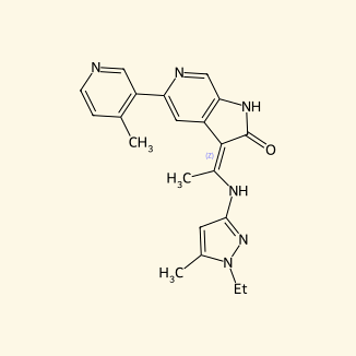 CCn1nc(N/C(C)=C2\C(=O)Nc3cnc(-c4cnccc4C)cc32)cc1C